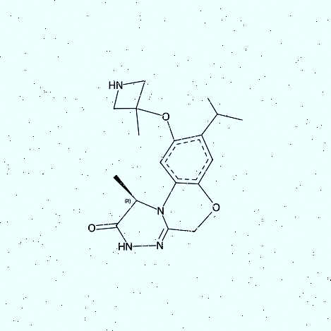 CC(C)c1cc2c(cc1OC1(C)CNC1)N1C(=NNC(=O)[C@H]1C)CO2